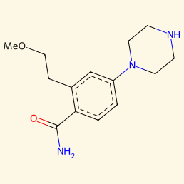 COCCc1cc(N2CCNCC2)ccc1C(N)=O